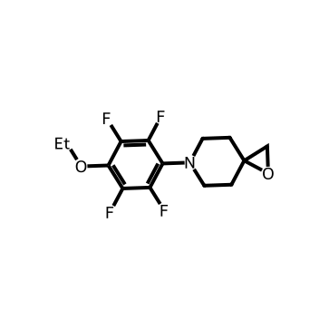 CCOc1c(F)c(F)c(N2CCC3(CC2)CO3)c(F)c1F